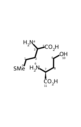 CSCCC(N)C(=O)O.N[C@@H](CCO)C(=O)O